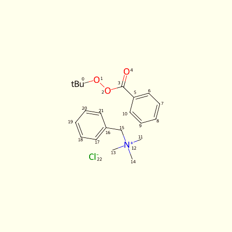 CC(C)(C)OOC(=O)c1ccccc1.C[N+](C)(C)Cc1ccccc1.[Cl-]